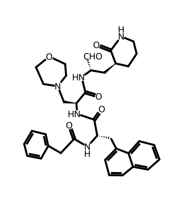 O=C[C@H](C[C@@H]1CCCNC1=O)NC(=O)[C@H](CN1CCOCC1)NC(=O)[C@H](Cc1cccc2ccccc12)NC(=O)Cc1ccccc1